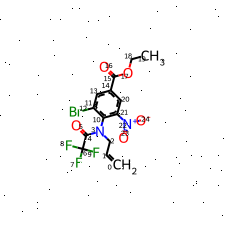 C=CCN(C(=O)C(F)(F)F)c1c(Br)cc(C(=O)OCC)cc1[N+](=O)[O-]